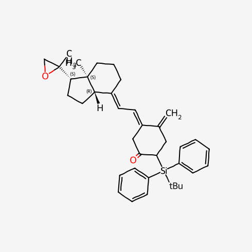 C=C1CC([Si](c2ccccc2)(c2ccccc2)C(C)(C)C)C(=O)CC1=CC=C1CCC[C@]2(C)[C@@H](C3(C)CO3)CC[C@@H]12